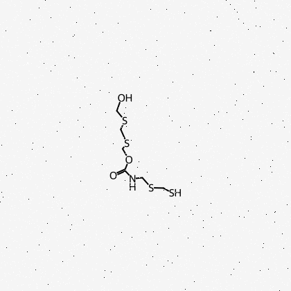 O=C(NCSCS)OCSCSCO